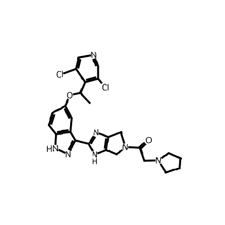 CC(Oc1ccc2[nH]nc(-c3nc4c([nH]3)CN(C(=O)CN3CCCC3)C4)c2c1)c1c(Cl)cncc1Cl